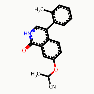 Cc1ccccc1-c1c[nH]c(=O)c2cc(OC(C)C#N)ccc12